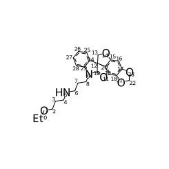 CCOCCCNCCCN1C(=O)C2(COc3cc4c(cc32)OCO4)c2ccccc21